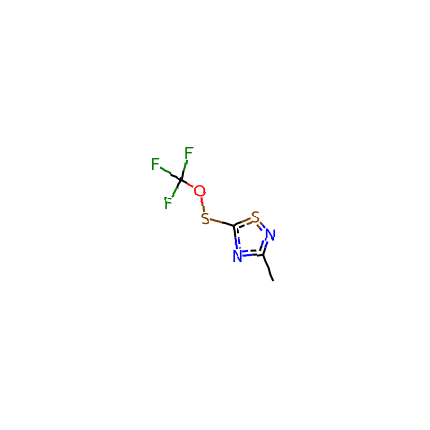 Cc1nsc(SOC(F)(F)F)n1